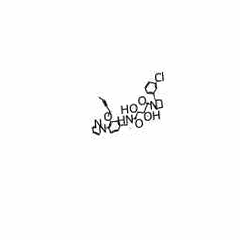 CC#CCOc1cc([C@@H](C)NC(=O)[C@H](O)[C@@H](O)C(=O)N2CCC[C@@H]2c2cccc(Cl)c2)ccc1-n1cccn1